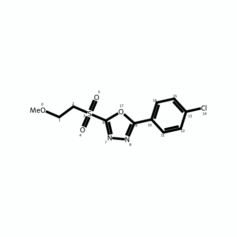 COCCS(=O)(=O)c1nnc(-c2ccc(Cl)cc2)o1